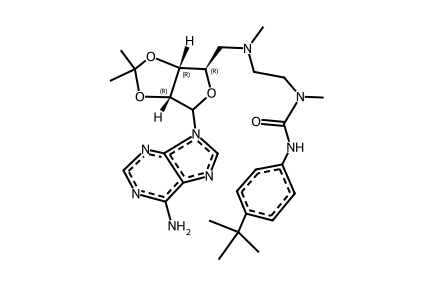 CN(CCN(C)C(=O)Nc1ccc(C(C)(C)C)cc1)C[C@H]1OC(n2cnc3c(N)ncnc32)[C@@H]2OC(C)(C)O[C@H]12